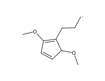 [CH]CCC1=C(OC)C=CC1OC